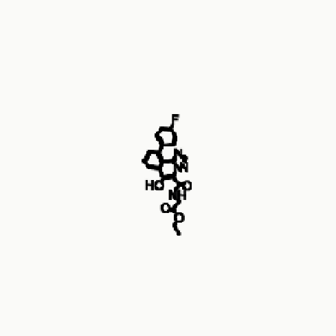 CCOC(=O)CNC(=O)c1c(O)c2cccc(-c3ccc(F)cc3)c2c2ncnn12